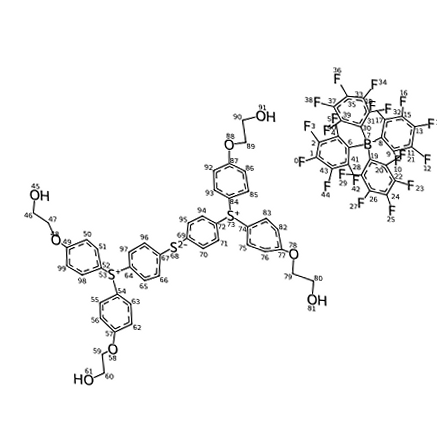 Fc1c(F)c(F)c([B-](c2c(F)c(F)c(F)c(F)c2F)(c2c(F)c(F)c(F)c(F)c2F)c2c(F)c(F)c(F)c(F)c2F)c(F)c1F.OCCOc1ccc([S+](c2ccc(OCCO)cc2)c2ccc([S-2]c3ccc([S+](c4ccc(OCCO)cc4)c4ccc(OCCO)cc4)cc3)cc2)cc1